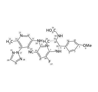 COc1ccc([C@H](Nc2nc(Nc3cnc(C)c(-n4nccn4)c3)c(C#N)cc2F)[C@H](C)NC(=O)O)cc1